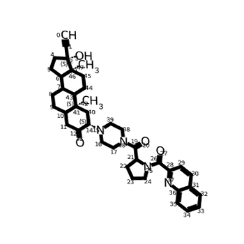 C#C[C@]1(O)CCC2C3CCC4CC(=O)[C@@H](N5CCN(C(=O)C6CCCN6C(=O)c6ccc7ccccc7n6)CC5)C[C@]4(C)C3CC[C@@]21C